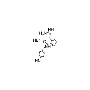 Br.N#Cc1ccc(CNC(=O)c2ccccc2CSC(=N)N)cc1